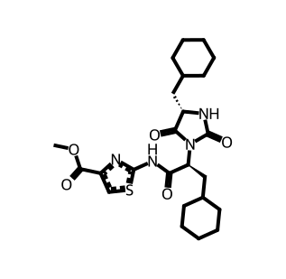 COC(=O)c1csc(NC(=O)[C@H](CC2CCCCC2)N2C(=O)N[C@@H](CC3CCCCC3)C2=O)n1